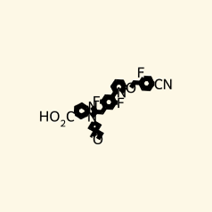 N#Cc1ccc(COc2cccc(-c3cc(F)c(Cc4nc5ccc(C(=O)O)cc5n4C4CC5(COC5)C4)cc3F)n2)c(F)c1